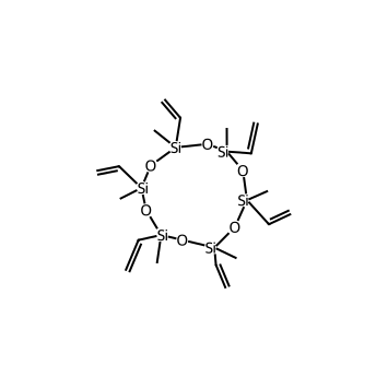 C=C[Si]1(C)O[Si](C)(C=C)O[Si](C)(C=C)O[Si](C)(C=C)O[Si](C)(C=C)O[Si](C)(C=C)O1